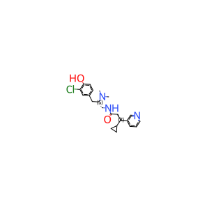 CN(C)[C@H](CNC(=O)C[C@@H](c1cccnc1)C1CC1)Cc1ccc(O)c(Cl)c1